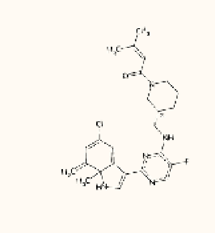 C=C1C=C(Cl)C=C2C(c3ncc(F)c(NC[C@H]4CCCN(C(=O)C=C(C)C)C4)n3)=CNC12C